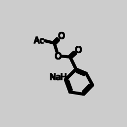 CC(=O)C(=O)OC(=O)c1ccccc1.[NaH]